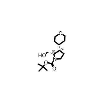 CC(C)(C)OC(=O)N1CC[C@@H](C2CCOCC2)[C@H]1CO